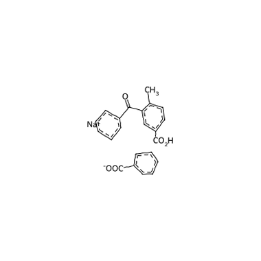 Cc1ccc(C(=O)O)cc1C(=O)c1ccccc1.O=C([O-])c1ccccc1.[Na+]